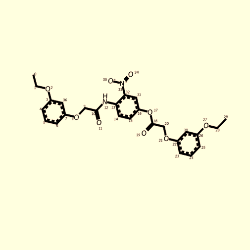 CCOc1cccc(OCC(=O)Nc2ccc(OC(=O)COc3cccc(OCC)c3)cc2[N+](=O)[O-])c1